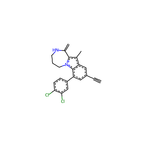 C#Cc1cc(-c2ccc(Cl)c(Cl)c2)c2c(c1)c(C)c1n2CCCNC1=C